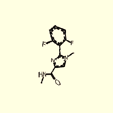 CNC(=O)c1cn(C)c(-c2c(F)cccc2F)n1